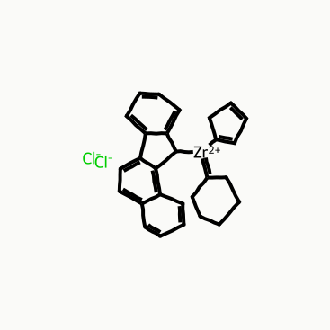 C1=CC[C]([Zr+2](=[C]2CCCCC2)[CH]2c3ccccc3-c3ccc4ccccc4c32)=C1.[Cl-].[Cl-]